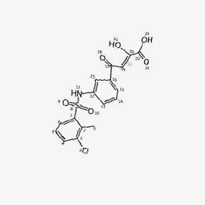 Cc1c(Cl)cccc1S(=O)(=O)Nc1cccc(C(=O)/C=C(\O)C(=O)O)c1